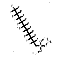 CO[Si](CC(F)(F)C(F)(F)C(F)(F)C(F)(F)C(F)(F)C(F)(F)C(F)(F)C(F)(F)C(F)(F)F)(OC)OC